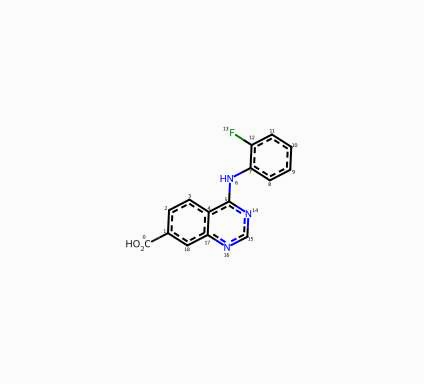 O=C(O)c1ccc2c(Nc3ccccc3F)ncnc2c1